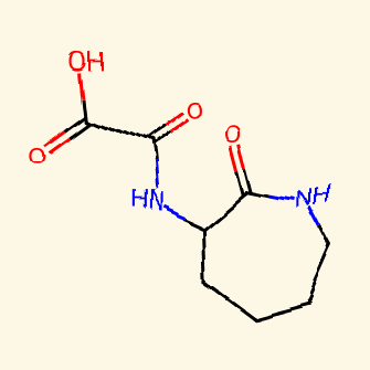 O=C(O)C(=O)NC1CCCCNC1=O